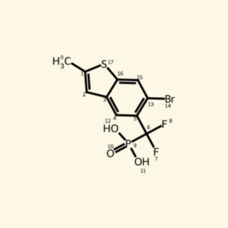 Cc1cc2cc(C(F)(F)P(=O)(O)O)c(Br)cc2s1